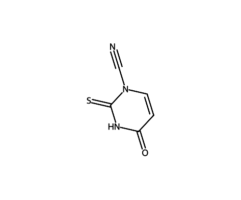 N#Cn1ccc(=O)[nH]c1=S